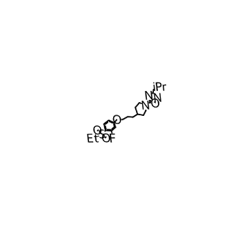 CCS(=O)(=O)c1ccc(OCCCC2CCN(c3nc(C(C)C)no3)CC2)cc1F